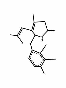 CC(C)=CC1=C(C)CC(C)NC1Cc1ccc(C)c(C)c1C